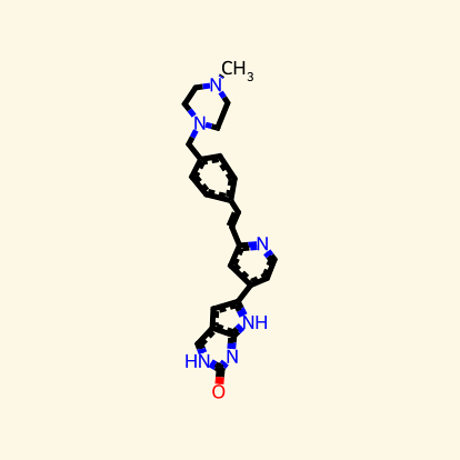 CN1CCN(Cc2ccc(C=Cc3cc(-c4cc5c[nH]c(=O)nc5[nH]4)ccn3)cc2)CC1